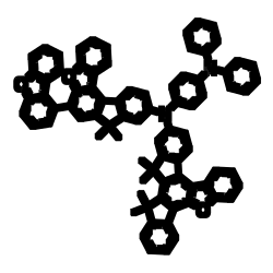 CC1(C)c2cc(N(c3ccc(N(c4ccccc4)c4ccccc4)cc3)c3ccc4c(c3)C(C)(C)c3c5c(c6oc7ccccc7c6c3-4)-c3ccccc3C5(C)C)ccc2-c2c1cc(-c1cccc3oc4ccccc4c13)c1oc3ccccc3c21